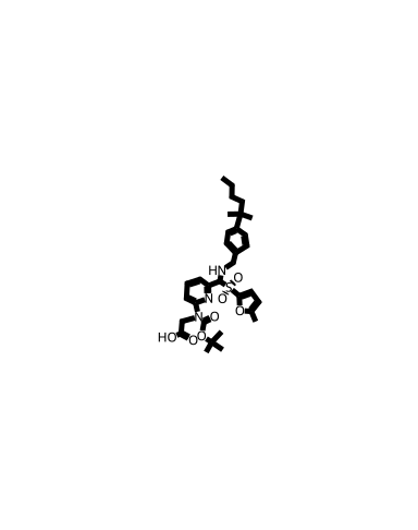 CCCCC(C)(C)c1ccc(CNC(c2cccc(N(CC(=O)O)C(=O)OC(C)(C)C)n2)S(=O)(=O)c2ccc(C)o2)cc1